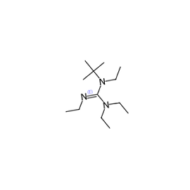 CC/N=C(\N(CC)CC)N(CC)C(C)(C)C